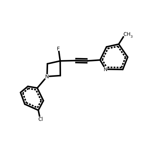 Cc1ccnc(C#CC2(F)CN(c3cccc(Cl)c3)C2)c1